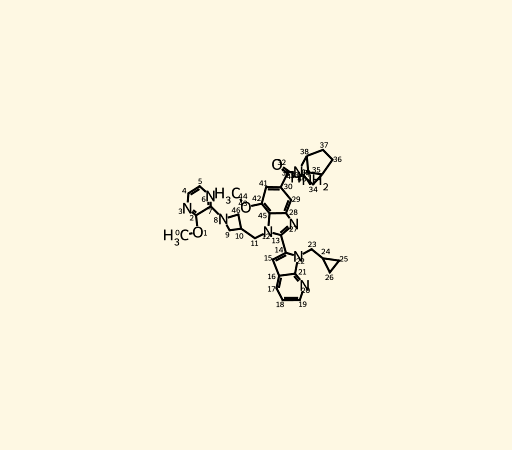 COc1nccnc1N1CC(Cn2c(-c3cc4cccnc4n3CC3CC3)nc3cc(C(=O)N4CC5CCC4[C@@H]5N)cc(OC)c32)C1